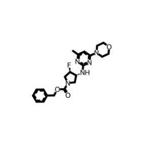 Cc1cc(N2CCOCC2)nc(N[C@@H]2CN(C(=O)OCc3ccccc3)C[C@H]2F)n1